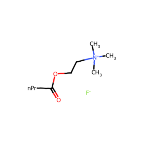 CCCC(=O)OCC[N+](C)(C)C.[F-]